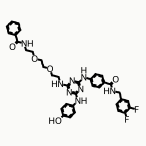 O=C(NCCOCCOCCNc1nc(Nc2ccc(O)cc2)nc(Nc2ccc(C(=O)NCc3ccc(F)c(F)c3)cc2)n1)c1ccccc1